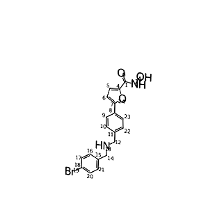 O=C(NO)c1ccc(-c2ccc(CNCc3ccc(Br)cc3)cc2)o1